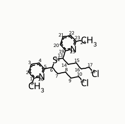 Cc1cccc(C(CCCCCl)SC(CCCCCl)c2cccc(C)n2)n1